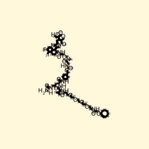 CC[C@@]1(O)C(=O)OCc2c1cc1n(c2=O)Cc2c-1nc1cc(F)c(C)c3c1c2[C@@H](NC(=O)COCN(C)C(=O)CNC(=O)OCc1ccc(NC(=O)[C@H](CCCNC(N)=O)NC(=O)[C@@H](NC(=O)CCOCCOCCOCCOCCNC(=O)COC2C#CCCCCC2)C(C)C)cc1)CC3